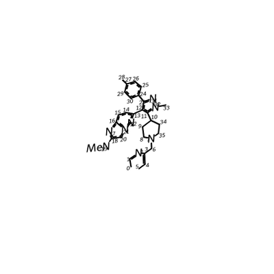 C/C=N\C(=C/C)CN1CCC(c2c(-c3ccc4nc(NC)cn4n3)c(-c3ccc(C)cc3)nn2C)CC1